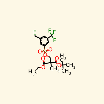 CCOC(=O)C(C)(COS(=O)(=O)c1cc(CF)cc(C(F)(F)F)c1)C(=O)OC(C)(C)C